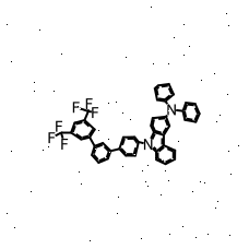 FC(F)(F)c1cc(-c2cccc(-c3ccc(-n4c5ccccc5c5cc(N(c6ccccc6)c6ccccc6)ccc54)cc3)c2)cc(C(F)(F)F)c1